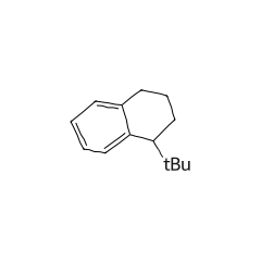 CC(C)(C)C1CCCc2ccccc21